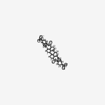 O=c1c2ccc3c4ccc5c6c(ccc(c7ccc(c2c37)c2nc3cc([N+](=O)[O-])ccc3n12)c46)c(=O)n1c2ccc([N+](=O)[O-])cc2nc51